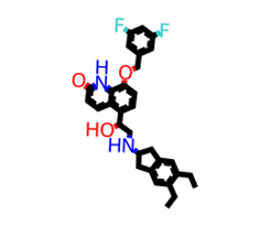 CCc1cc2c(cc1CC)CC(NCC(O)c1ccc(OCc3cc(F)cc(F)c3)c3[nH]c(=O)ccc13)C2